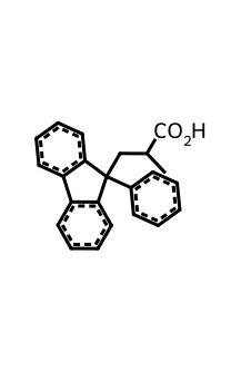 CC(CC1(c2ccccc2)c2ccccc2-c2ccccc21)C(=O)O